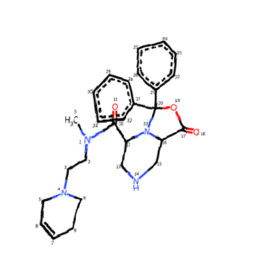 CN(CCN1CC=CCC1)C(=O)C1CNCC2C(=O)OC(c3ccccc3)(c3ccccc3)N21